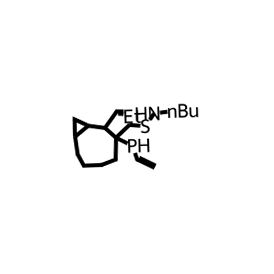 C=CPC1(C(CC)SNCCCC)CCCCC2CC2C1C=C